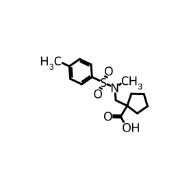 Cc1ccc(S(=O)(=O)N(C)CC2(C(=O)O)CCCC2)cc1